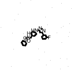 O=S(=O)(NCc1ccc(Nc2cc(-c3cccc(F)c3)ncn2)cc1)c1ccccc1